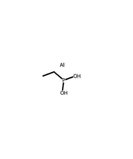 CCP(O)O.[Al]